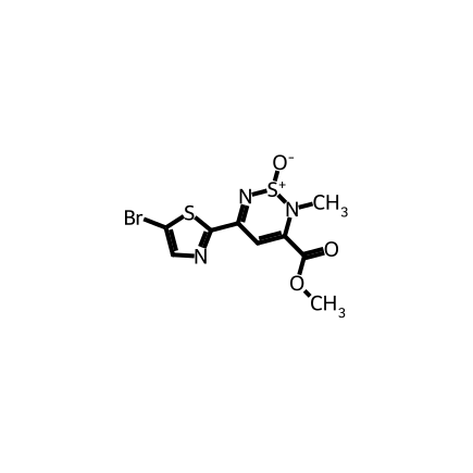 COC(=O)C1=CC(c2ncc(Br)s2)=N[S+]([O-])N1C